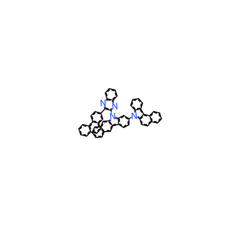 c1ccc2cc3c(cc2c1)c1ccc(-n2c4ccccc4c4c5ccccc5ccc42)cc1n3-c1nc2ccccc2nc1-c1ccc2c(ccc3ccccc32)c1